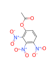 CC(=O)Oc1ccc([N+](=O)[O-])c([N+](=O)[O-])c1[N+](=O)[O-]